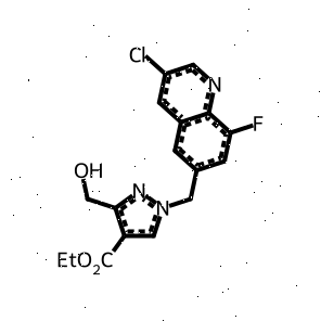 CCOC(=O)c1cn(Cc2cc(F)c3ncc(Cl)cc3c2)nc1CO